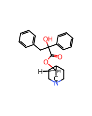 O=C(O[C@H]1CN2CCC1CC2)C(O)(Cc1ccccc1)c1ccccc1